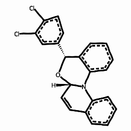 Clc1ccc([C@H]2O[C@H]3C=Cc4ccccc4N3c3ccccc32)cc1Cl